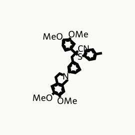 COc1ccc(C(C#N)(Cc2cccc(N3CCc4cc(OC)c(OC)cc4C3)c2)Sc2ccc(C)cc2)cc1OC